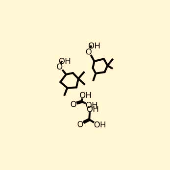 CC1CC(OO)CC(C)(C)C1.CC1CC(OO)CC(C)(C)C1.O=C(O)O.O=C(O)O